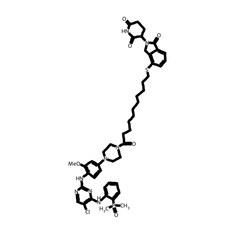 COc1cc(N2CCN(C(=O)CCCCCCCCCCSc3cccc4c3CN(C3CCC(=O)NC3=O)C4=O)CC2)ccc1Nc1ncc(Cl)c(Nc2ccccc2P(C)(C)=O)n1